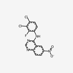 O=[N+]([O-])c1[c]cc2ncnc(Nc3ccc(Cl)c(Cl)c3F)c2c1